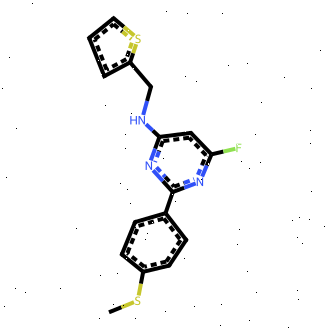 CSc1ccc(-c2nc(F)cc(NCc3cccs3)n2)cc1